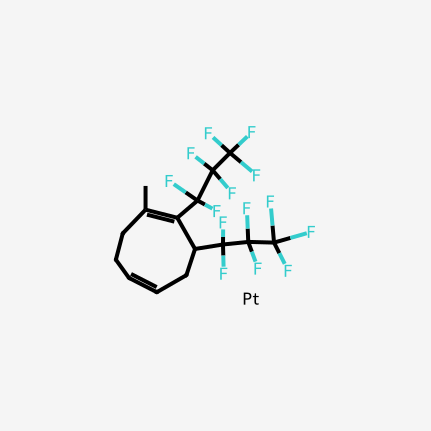 CC1=C(C(F)(F)C(F)(F)C(F)(F)F)C(C(F)(F)C(F)(F)C(F)(F)F)CC=CCC1.[Pt]